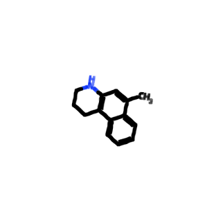 Cc1cc2c(c3ccccc13)CCCN2